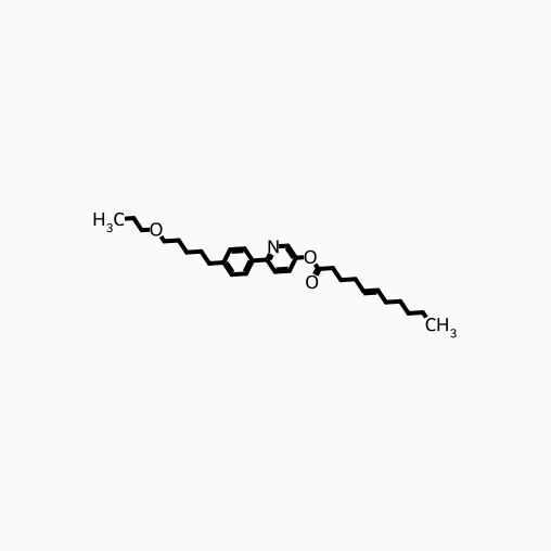 CCCCCC=CCCCC(=O)Oc1ccc(-c2ccc(CCCCCOCCC)cc2)nc1